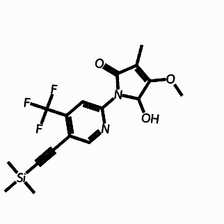 COC1=C(C)C(=O)N(c2cc(C(F)(F)F)c(C#C[Si](C)(C)C)cn2)C1O